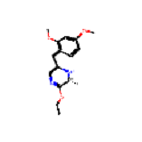 CCOC1=NCC(Cc2ccc(OC)cc2OC)N[C@@H]1C